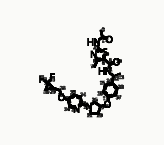 CC(=O)Nc1nc(C)c(C(=O)N[C@@H](C)c2ccc(OC3CCN(c4ccc(OCC5CC5(F)F)cn4)C3)cc2)s1